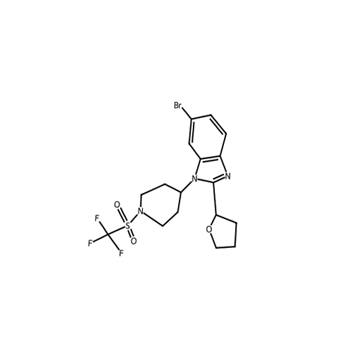 O=S(=O)(N1CCC(n2c(C3CCCO3)nc3ccc(Br)cc32)CC1)C(F)(F)F